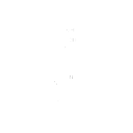 OBOc1ccn2cc(C(F)(F)F)nc2c1